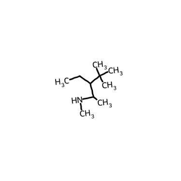 CCC(C(C)NC)C(C)(C)C